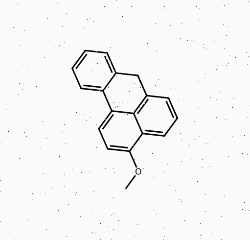 COc1ccc2c3c(cccc13)Cc1ccccc1-2